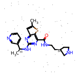 Cc1cc2nc(N[C@@H](C)c3cccnc3)nc(C(=O)NCC[C@H]3CCNC3)c2s1